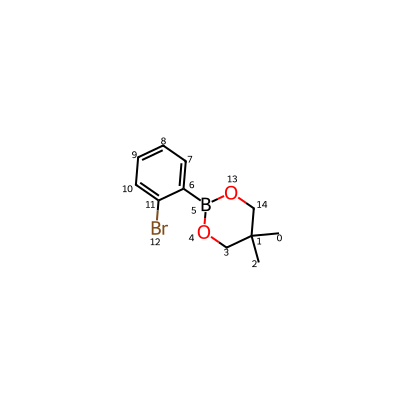 CC1(C)COB(c2ccccc2Br)OC1